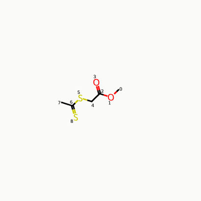 COC(=O)CSC(C)=S